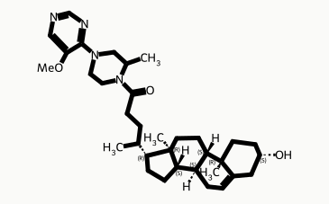 COc1cncnc1N1CCN(C(=O)CCC(C)[C@H]2CC[C@H]3[C@@H]4CC=C5C[C@@H](O)CC[C@]5(C)[C@H]4CC[C@]23C)C(C)C1